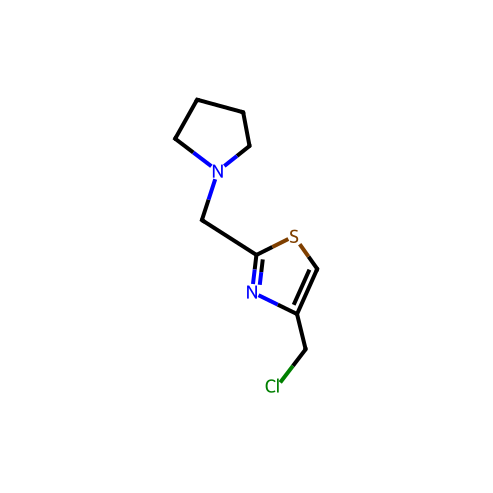 ClCc1csc(CN2CCCC2)n1